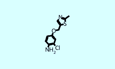 Cc1ncc(COc2ccc(N)c(Cl)c2)s1